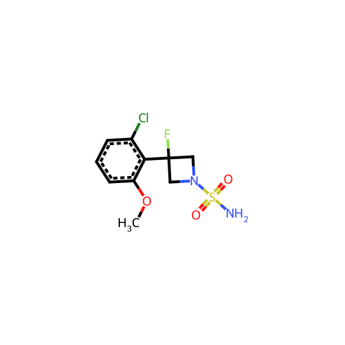 COc1cccc(Cl)c1C1(F)CN(S(N)(=O)=O)C1